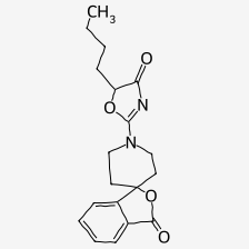 CCCCC1OC(N2CCC3(CC2)OC(=O)c2ccccc23)=NC1=O